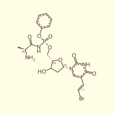 C[C@H](N)C(=O)NP(=O)(OC[C@@H]1O[C@H](n2cc(/C=C/Br)c(=O)[nH]c2=O)CC1O)Oc1ccccc1